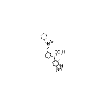 CC(=O)N(CCc1cccc(C(CC(=O)O)c2ccc3c(nnn3C)c2C)c1)CC1CCCCC1